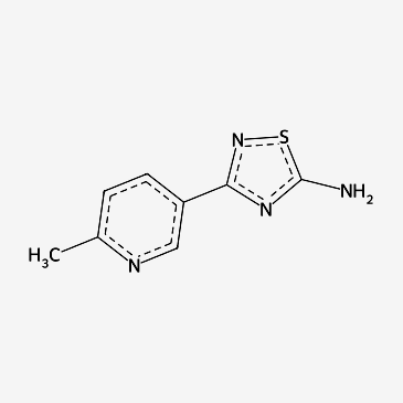 Cc1ccc(-c2nsc(N)n2)cn1